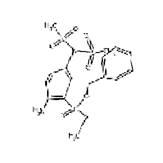 CCP(=O)(OCc1ccccc1)c1cc(N(S(C)(=O)=O)S(C)(=O)=O)ccc1N